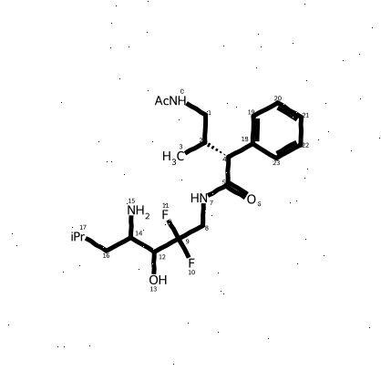 CC(=O)NCC(C)[C@@H](C(=O)NCC(F)(F)C(O)C(N)CC(C)C)c1ccccc1